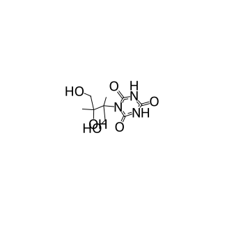 CC(O)(CO)C(C)(CO)n1c(=O)[nH]c(=O)[nH]c1=O